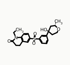 CCN1C(=O)CCc2cc(S(=O)(=O)c3cccc([C@@]4(O)CCO[C@@H](C)C4)c3)ccc21